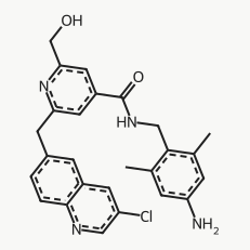 Cc1cc(N)cc(C)c1CNC(=O)c1cc(CO)nc(Cc2ccc3ncc(Cl)cc3c2)c1